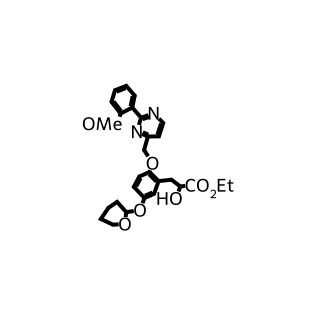 CCOC(=O)C(O)Cc1cc(OC2CCCCO2)ccc1OCc1ccnc(-c2ccccc2OC)n1